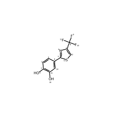 Oc1ccc(-c2nc(C(F)(F)F)cs2)cc1O